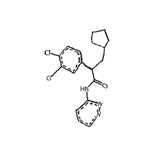 O=C(Nc1cccnn1)C(CC1CCCC1)c1ccc(Cl)c(Cl)c1